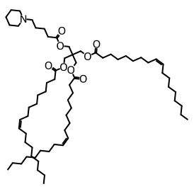 CCCCCCCC/C=C\CCCCCCCC(=O)OCC(COC(=O)CCCCCCC/C=C\CCCCCCCC)(COC(=O)CCCCCCC/C=C\CCCCCCCC)COC(=O)CCCCN1CCCCC1